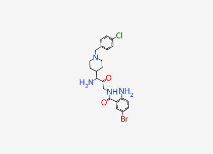 Nc1ccc(Br)cc1C(=O)NCC(=O)C(N)C1CCN(Cc2ccc(Cl)cc2)CC1